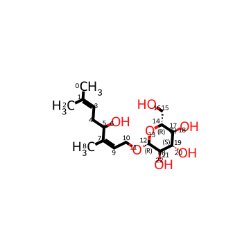 CC(C)=CCC(O)C(C)=CCO[C@@H]1O[C@H](CO)[C@@H](O)[C@H](O)[C@H]1O